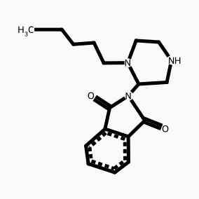 CCCCCN1CCNCC1N1C(=O)c2ccccc2C1=O